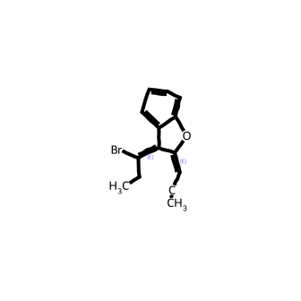 CC/C=c1/oc2ccccc2/c1=C(\Br)CC